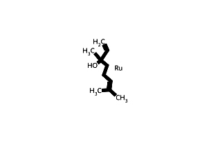 C=CC(C)(O)CCC=C(C)C.[Ru]